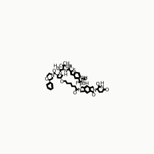 CC(C)(C)[C@H](NC(=O)c1cc2cc(C(F)(F)P(=O)(O)O)ccc2s1)C(=O)N1C[C@H](OCCCCCC(=O)N2Cc3cc4c(cc3C2)C(=O)N(C2CCC(=O)NC2=O)C4)C[C@H]1C(=O)N1CCO[C@H](c2ccccc2)C1